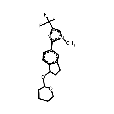 Cn1cc(C(F)(F)F)nc1-c1ccc2c(c1)CCC2OC1CCCCO1